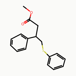 COC(=O)CC(CSc1ccccc1)c1ccccc1